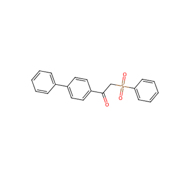 O=C(CS(=O)(=O)c1ccccc1)c1ccc(-c2ccccc2)cc1